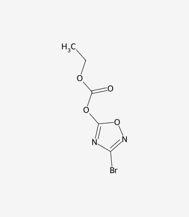 CCOC(=O)Oc1nc(Br)no1